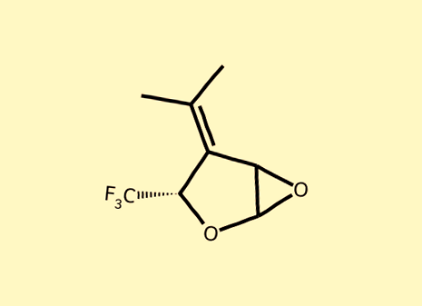 CC(C)=C1C2OC2O[C@@H]1C(F)(F)F